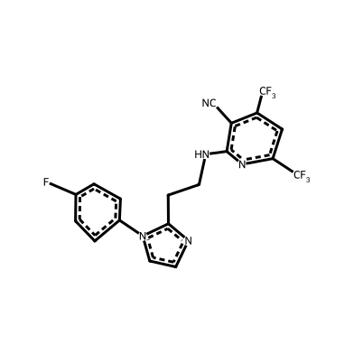 N#Cc1c(C(F)(F)F)cc(C(F)(F)F)nc1NCCc1nccn1-c1ccc(F)cc1